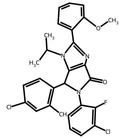 COc1ccccc1-c1nc2c(n1C(C)C)C(c1ccc(Cl)cc1C)N(c1cccc(Cl)c1F)C2=O